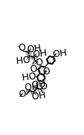 COC[C@@H](O)[C@@H](O)[C@@H](O)[C@H](C)Oc1cc(O)c2c(=O)c(O[C@@H](C)[C@H](O)[C@H](O)[C@H](O)COC)c(-c3ccc(O)cc3)oc2c1